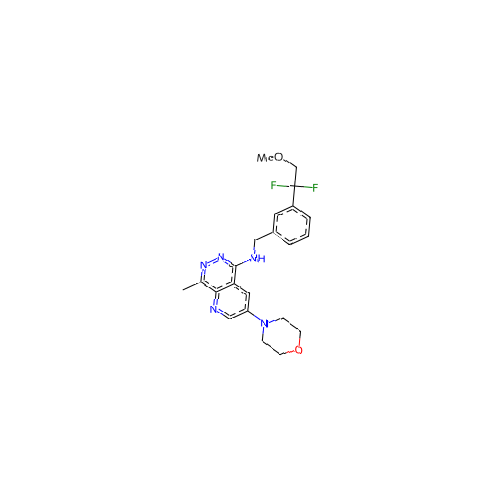 COCC(F)(F)c1cccc(CNc2nnc(C)c3ncc(N4CCOCC4)cc23)c1